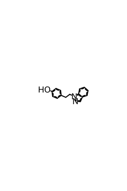 Oc1ccc(CCn2ncc3ccccc32)cc1